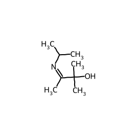 CC(=NC(C)C)C(C)(C)O